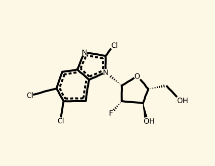 OC[C@H]1O[C@@H](n2c(Cl)nc3cc(Cl)c(Cl)cc32)[C@@H](F)[C@@H]1O